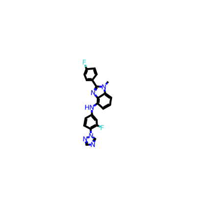 Cn1c(-c2ccc(F)cc2)nc2c(Nc3ccc(-n4cncn4)c(F)c3)cccc21